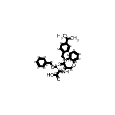 CC(C)c1ccc(CN2C(=O)C(N[C@@H](COCc3ccccc3)C(=O)O)COc3ccccc32)cc1